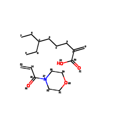 C=C(CCCC(CC)CC)C(=O)O.C=CC(=O)N1CCOCC1